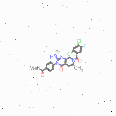 CNC(=O)c1ccc(-n2c(NC(C)C)nc3c(c2=O)C[C@@H](C)N(C(=O)c2cc(F)c(Cl)cc2Cl)C3)cc1